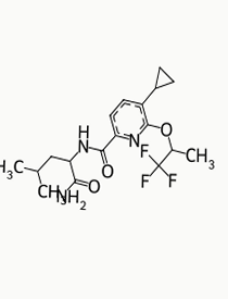 CC(C)CC(NC(=O)c1ccc(C2CC2)c(OC(C)C(F)(F)F)n1)C(N)=O